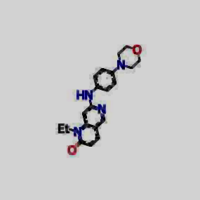 CCn1c(=O)ccc2cnc(Nc3ccc(N4CCOCC4)cc3)cc21